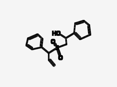 C=CC(c1ccccc1)S(=O)(=O)CC(O)c1ccccc1